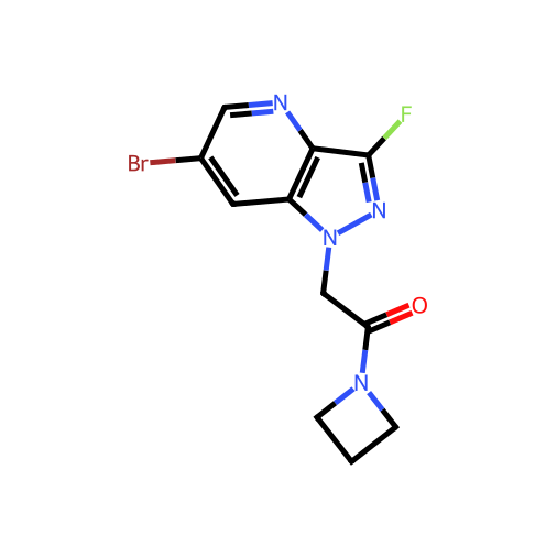 O=C(Cn1nc(F)c2ncc(Br)cc21)N1CCC1